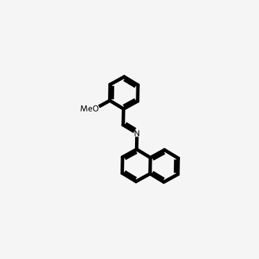 COc1ccccc1/C=N/c1cccc2ccccc12